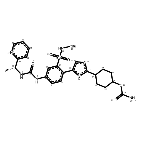 C[C@@H](NC(=O)Nc1ccc(-c2cnc(C3CCC(OC(N)=O)CC3)s2)c(S(=O)(=O)NC(C)(C)C)c1)c1ccccn1